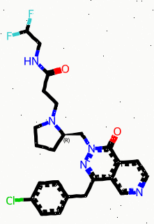 O=C(CCN1CCC[C@@H]1Cn1nc(Cc2ccc(Cl)cc2)c2cnccc2c1=O)NCC(F)F